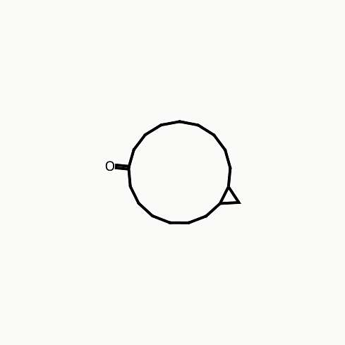 O=C1CCCCCCCCC2CC2CCCCCC1